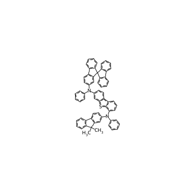 CC1(C)c2ccccc2-c2ccc(N(c3ccccc3)c3cccc4c3sc3cc(N(c5ccccc5)c5ccc6c(c5)C5(c7ccccc7-c7ccccc75)c5ccccc5-6)ccc34)cc21